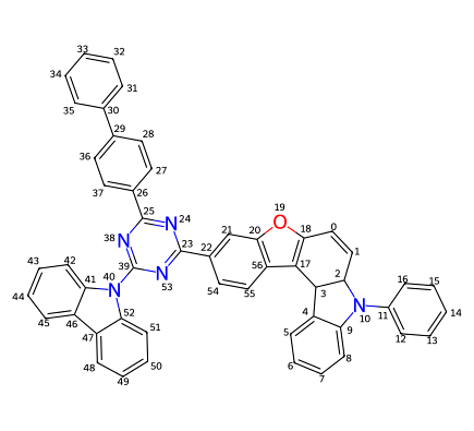 C1=CC2C(c3ccccc3N2c2ccccc2)c2c1oc1cc(-c3nc(-c4ccc(-c5ccccc5)cc4)nc(-n4c5ccccc5c5ccccc54)n3)ccc21